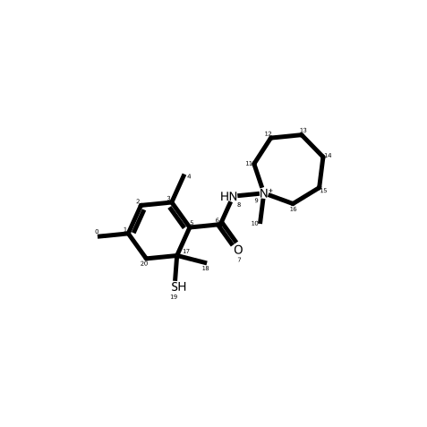 CC1=CC(C)=C(C(=O)N[N+]2(C)CCCCCC2)C(C)(S)C1